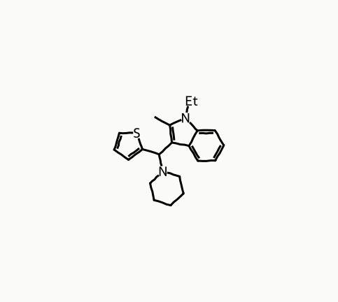 CCn1c(C)c(C(c2cccs2)N2CCCCC2)c2ccccc21